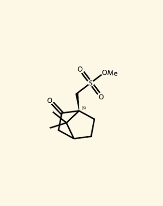 COS(=O)(=O)C[C@]12CCC(CC1=O)C2(C)C